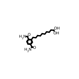 NC(=O)c1ccc(C(N)=O)c(CCCCCCCCCC(O)O)c1